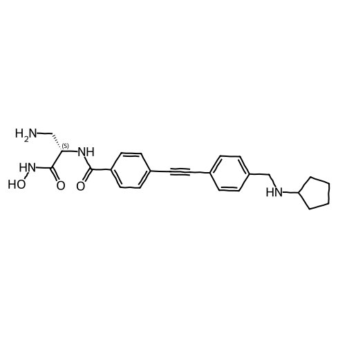 NC[C@H](NC(=O)c1ccc(C#Cc2ccc(CNC3CCCC3)cc2)cc1)C(=O)NO